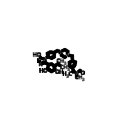 CC(C)c1cc(-c2nnc(O)n2-c2ccc(CN3CCN(Cc4ccc(C(C)N(C)C=O)cc4)CC3)cc2)c(O)cc1O